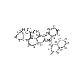 CC1(C)c2ccccc2-c2ccc3cc4c(cc3c21)c1ccccc1n4-c1cccc2ccccc12